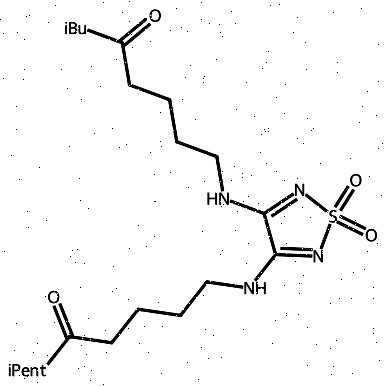 CCCC(C)C(=O)CCCCNC1=NS(=O)(=O)N=C1NCCCCC(=O)C(C)CC